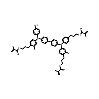 C=C(C)C(=O)OCCCc1ccc(N(c2ccc(-c3ccc(N(c4ccc(CCCC)cc4)c4ccc(CCCOC(=O)C(=C)C)c(C)c4)cc3)cc2)c2ccc(CCCOC(=O)C(=C)C)c(C)c2)cc1